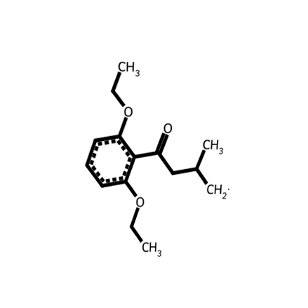 [CH2]C(C)CC(=O)c1c(OCC)cccc1OCC